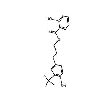 CC(C)(C)c1cc(CCCOC(=S)c2ccccc2O)ccc1O